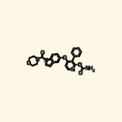 NC(=O)Oc1nccc(Oc2ccc3c(ccn3C(=O)N3CCOCC3)c2)c1-c1ccccc1